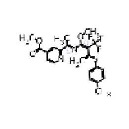 C=C(Sc1ccc(C)cc1)/C(=C(\N=C(/C)c1cc(C(=O)OC)ccn1)OC)C(F)(F)F